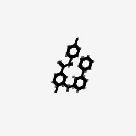 Cc1ccc(NC(=O)c2ccc(C)c(Nc3nccc(-c4cccnc4)n3)c2)nc1